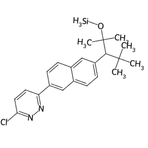 CC(C)(C)C(c1ccc2cc(-c3ccc(Cl)nn3)ccc2c1)C(C)(C)O[SiH3]